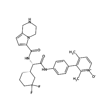 Cc1cc[n+]([O-])c(C)c1-c1ccc(NC(=O)[C@@H](NC(=O)c2ccc3n2CCNC3)[C@H]2CCCC(F)(F)C2)cc1